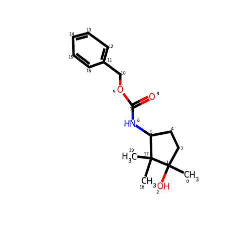 CC1(O)CCC(NC(=O)OCc2ccccc2)C1(C)C